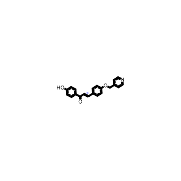 O=C(/C=C/c1ccc(OCc2ccncc2)cc1)c1ccc(O)cc1